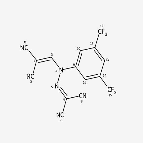 N#CC(C#N)=CN(N=C(C#N)C#N)c1cc(C(F)(F)F)cc(C(F)(F)F)c1